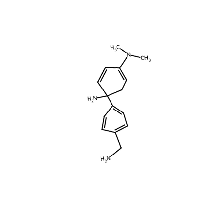 CN(C)C1=CCC(N)(c2ccc(CN)cc2)C=C1